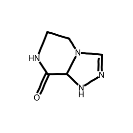 O=C1NCCN2C=NNC12